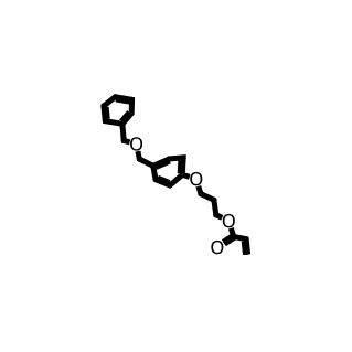 C=CC(=O)OCCCOc1ccc(COCc2ccccc2)cc1